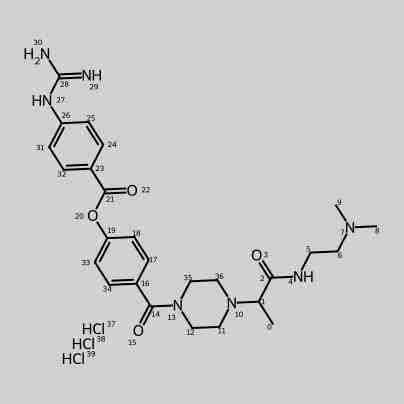 CC(C(=O)NCCN(C)C)N1CCN(C(=O)c2ccc(OC(=O)c3ccc(NC(=N)N)cc3)cc2)CC1.Cl.Cl.Cl